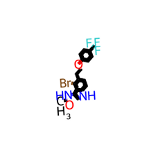 CC(=O)Nc1c[nH]c2ccc(CCOc3ccc(C(F)(F)F)cc3)c(Br)c12